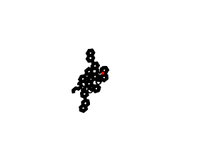 C=C/C(=C\C=C/C)N(c1ccc(-c2ccc3ccccc3c2)cc1)c1cc2c(c3c1oc1ccccc13)-c1c(cc(N(c3ccccc3)c3ccc(-c4ccc5ccccc5c4)cc3)c3c1oc1ccccc13)C21c2ccccc2-c2ccccc21